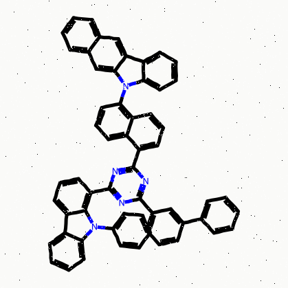 c1ccc(-c2cccc(-c3nc(-c4cccc5c(-n6c7ccccc7c7cc8ccccc8cc76)cccc45)nc(-c4cccc5c6ccccc6n(-c6ccccc6)c45)n3)c2)cc1